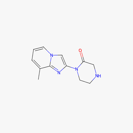 Cc1cccn2cc(N3CCNCC3=O)nc12